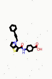 O=C(NC1CCC(C(=O)O)CC1)c1csc2ccn(CC#Cc3ccccc3)c12